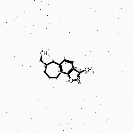 CCC1CCCc2c(ccc3c(C)noc23)C1